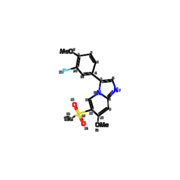 COc1ccc(-c2cnc3cc(OC)c(S(=O)(=O)C(C)(C)C)cn23)cc1F